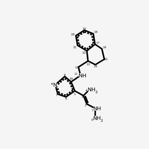 NN/C=C(\N)c1ccncc1NCC1CCCc2ccccc21